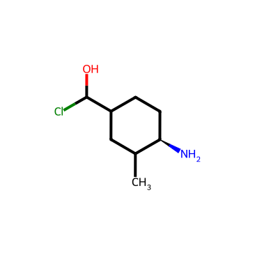 CC1CC(C(O)Cl)CC[C@H]1N